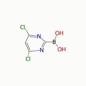 OB(O)c1nc(Cl)cc(Cl)n1